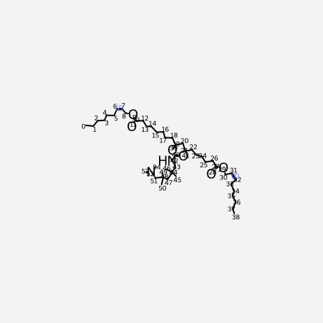 CCCCCC/C=C\COC(=O)CCCCCCCC(CCCCCCCC(=O)OC/C=C\CCCCCC)OC(=O)NCC(C)(C)CC(C)(C)CN(C)C